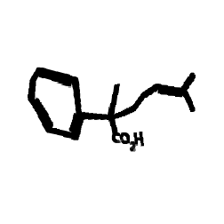 CC(C)=CCC(C)(C(=O)O)c1ccccc1